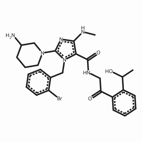 CNc1nc(N2CCCC(N)C2)n(Cc2ccccc2Br)c1C(=O)NCC(=O)c1ccccc1C(C)O